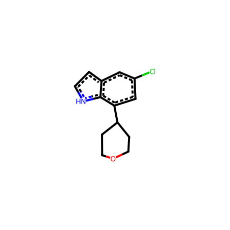 Clc1cc(C2CCOCC2)c2[nH]ccc2c1